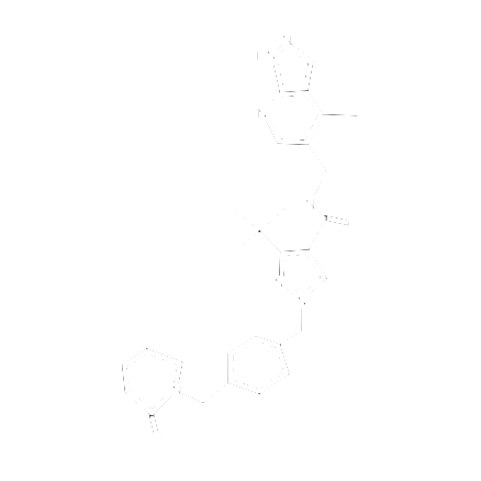 Cc1c(CNC(=O)c2cn(Cc3ccc(Cn4ccccc4=O)cc3)nc2C(F)(F)F)cnc2[nH]ncc12